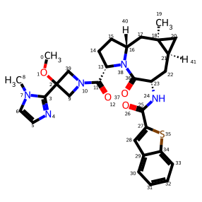 COC1(c2nccn2C)CN(C(=O)[C@@H]2CC[C@@H]3C[C@@]4(C)C[C@H]4C[C@H](NC(=O)c4cc5ccccc5s4)C(=O)N32)C1